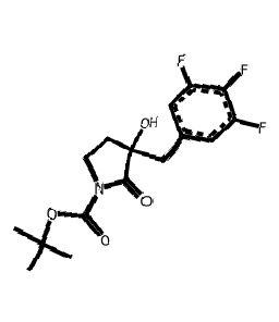 CC(C)(C)OC(=O)N1CCC(O)(Cc2cc(F)c(F)c(F)c2)C1=O